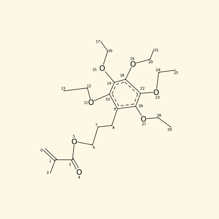 C=C(C)C(=O)OCCCc1c(OCC)c(OCC)c(OCC)c(OCC)c1OCC